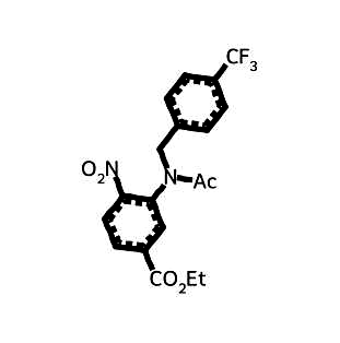 CCOC(=O)c1ccc([N+](=O)[O-])c(N(Cc2ccc(C(F)(F)F)cc2)C(C)=O)c1